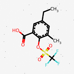 CCc1cc(C)c(OS(=O)(=O)C(F)(F)F)c(C(=O)O)c1